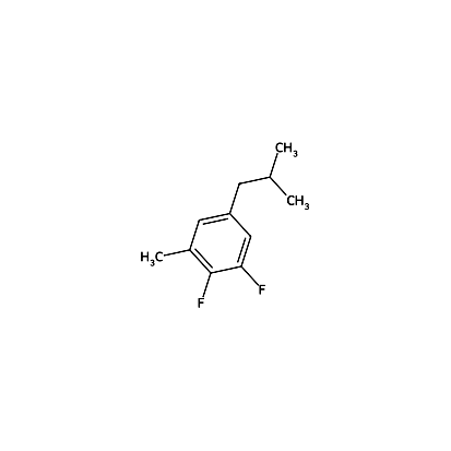 Cc1cc(CC(C)C)cc(F)c1F